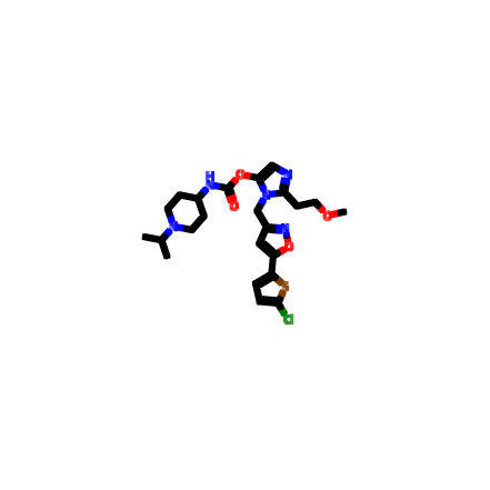 COCCc1ncc(OC(=O)NC2CCN(C(C)C)CC2)n1Cc1cc(-c2ccc(Cl)s2)on1